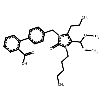 CCCCCn1c(C(OC)OC)c(CCC)n(Cc2ccc(-c3ccccc3C(=O)O)cc2)c1=O